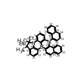 CCC1(C)N2c3cccc4c3B(c3cccc(c32)[C@]1(C)CC)c1ccc2ccccc2c1N4c1cccc2ccccc12